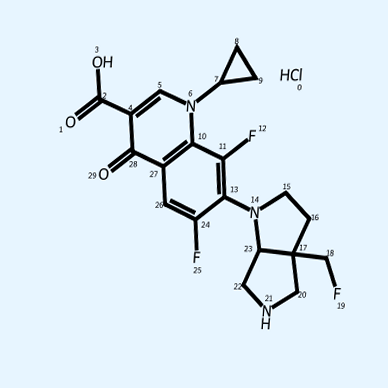 Cl.O=C(O)c1cn(C2CC2)c2c(F)c(N3CCC4(CF)CNCC34)c(F)cc2c1=O